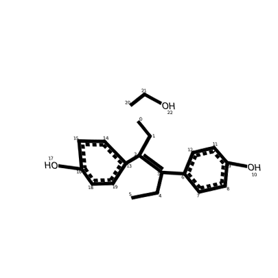 CC/C(=C(/CC)c1ccc(O)cc1)c1ccc(O)cc1.CCO